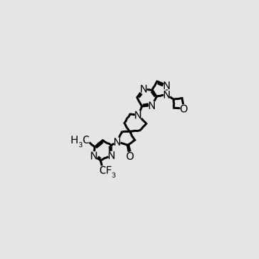 Cc1cc(N2CC3(CCN(c4cnc5cnn(C6COC6)c5n4)CC3)CC2=O)nc(C(F)(F)F)n1